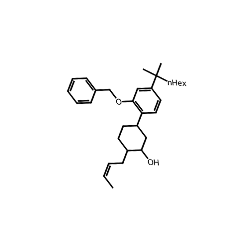 C/C=C\CC1CCC(c2ccc(C(C)(C)CCCCCC)cc2OCc2ccccc2)CC1O